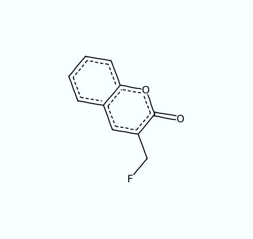 O=c1oc2ccccc2cc1CF